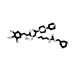 N[C@H](Cc1cc(Br)c(O)c(Br)c1)C(=O)N[C@@H](CCCCNC(=O)OCc1ccccc1)C(=O)N1CCN(c2ccncc2)CC1